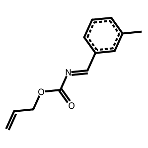 C=CCOC(=O)/N=C/c1cccc(C)c1